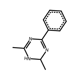 CC1=NC(c2ccccc2)=NC(C)N1